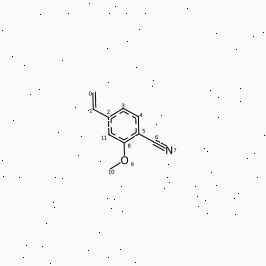 C=Cc1ccc(C#N)c(OC)c1